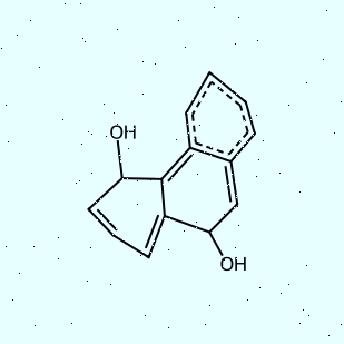 OC1C=c2ccccc2=C2C1=CC=CC2O